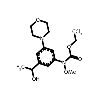 CON(C(=O)OCC(Cl)(Cl)Cl)c1cc(C(O)C(F)(F)F)cc(N2CCOCC2)c1